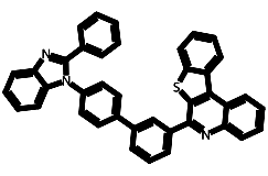 c1ccc(-c2nc3ccccc3n2-c2ccc(-c3cccc(-c4nc5ccccc5c5c4sc4ccccc45)c3)cc2)cc1